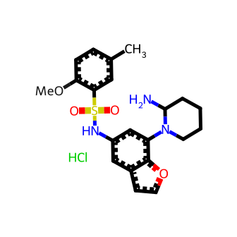 COc1ccc(C)cc1S(=O)(=O)Nc1cc(N2CCCCC2N)c2occc2c1.Cl